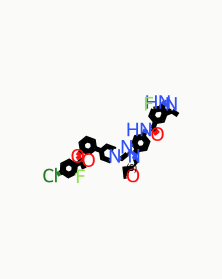 Cc1n[nH]c2c(F)cc(C(=O)Nc3ccc4c(c3)nc(CN3CCC(c5cccc6c5OC(C)(c5ccc(Cl)cc5F)O6)CC3)n4C[C@@H]3CCO3)cc12